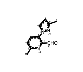 Cc1ccc(-n2ccc(C)n2)c(C=O)n1